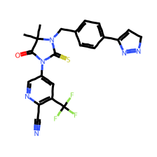 CC1(C)C(=O)N(c2cnc(C#N)c(C(F)(F)F)c2)C(=S)N1Cc1ccc(C2=CCN=N2)cc1